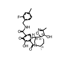 CC1=NO[C@@]2(CC[C@H](C)N3C[C@H]2n2cc(C(=O)NCc4ccc(C)cc4F)c(=O)c(O)c2C3=O)[C@@H]1O